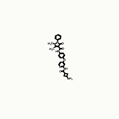 Cc1c(C(=O)Nc2ccc(Oc3ccnc(NC(=O)C4CC(N)C4)c3)cc2)c(=O)n(-c2ccccc2)n1C